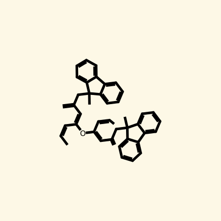 C=C(/C=C(\C=C/C)OC(/C=C\C)=C/C(=C)CC1(C)c2ccccc2-c2ccccc21)CC1(C)c2ccccc2-c2ccccc21